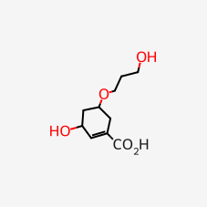 O=C(O)C1=CC(O)CC(OCCCO)C1